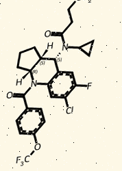 O=C(O)CCC(=O)N(C1CC1)[C@@H]1c2cc(F)c(Cl)cc2N(C(=O)c2ccc(OC(F)(F)F)cc2)[C@@H]2CCC[C@@H]21